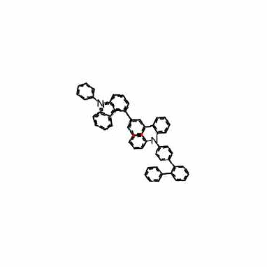 c1ccc(-c2ccccc2-c2ccc(N(c3ccccc3)c3ccccc3-c3cccc(-c4cccc5c4c4ccccc4n5-c4ccccc4)c3)cc2)cc1